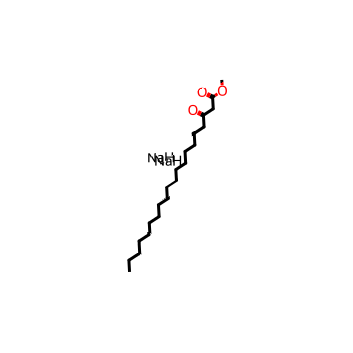 CCCCCCCCCCCCCCCCCC(=O)CC(=O)OC.[NaH].[NaH]